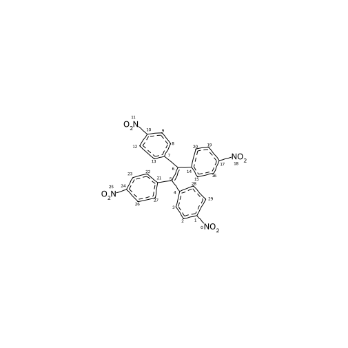 O=[N+]([O-])c1ccc(C(=C(c2ccc([N+](=O)[O-])cc2)c2ccc([N+](=O)[O-])cc2)c2ccc([N+](=O)[O-])cc2)cc1